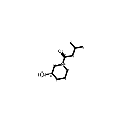 CC(C)CC(=O)N1CCC[C@@H](N)C1